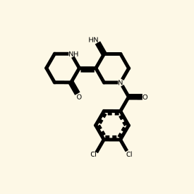 N=C1CCN(C(=O)c2ccc(Cl)c(Cl)c2)C/C1=C1/NCCCC1=O